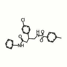 Cc1ccc(S(=O)(=O)NCC(CC(=O)Nc2ccccc2)c2ccc(Cl)cc2)cc1